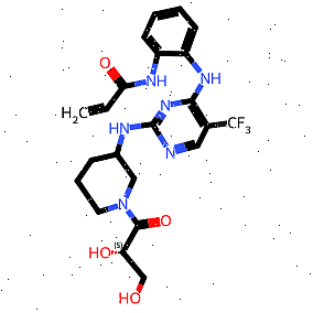 C=CC(=O)Nc1ccccc1Nc1nc(NC2CCCN(C(=O)[C@@H](O)CO)C2)ncc1C(F)(F)F